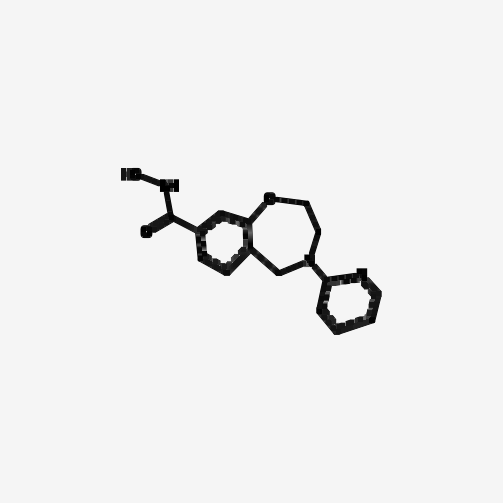 O=C(NO)c1ccc2c(c1)OCCN(c1ccccn1)C2